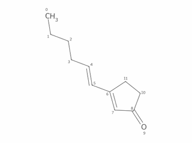 CCCC/C=C/C1=CC(=O)CC1